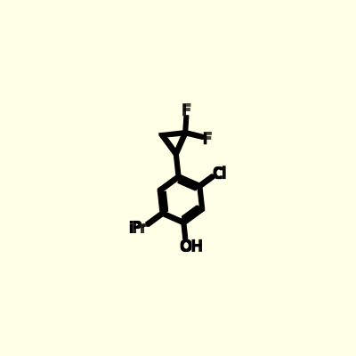 CC(C)c1cc(C2CC2(F)F)c(Cl)cc1O